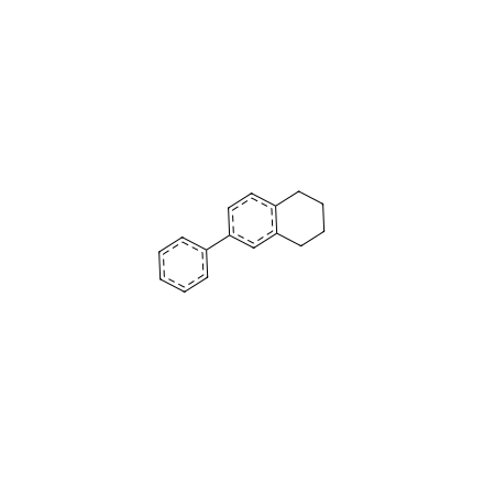 c1ccc(-c2ccc3c(c2)CCCC3)cc1